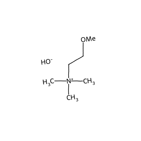 COCC[N+](C)(C)C.[OH-]